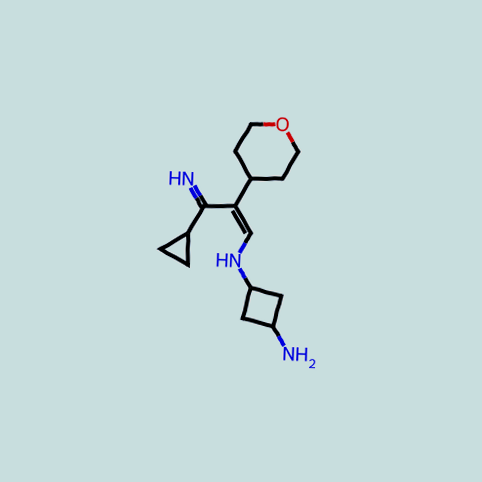 N=C(/C(=C\NC1CC(N)C1)C1CCOCC1)C1CC1